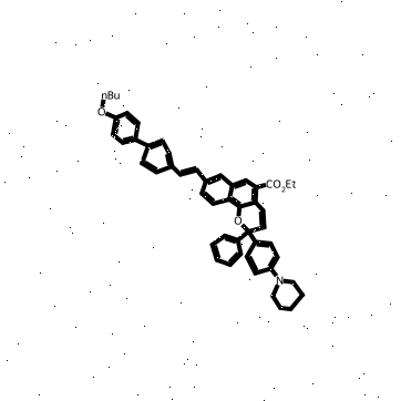 CCCCOc1ccc(-c2ccc(/C=C/c3ccc4c5c(c(C(=O)OCC)cc4c3)C=CC(c3ccccc3)(c3ccc(N4CCCCC4)cc3)O5)cc2)cc1